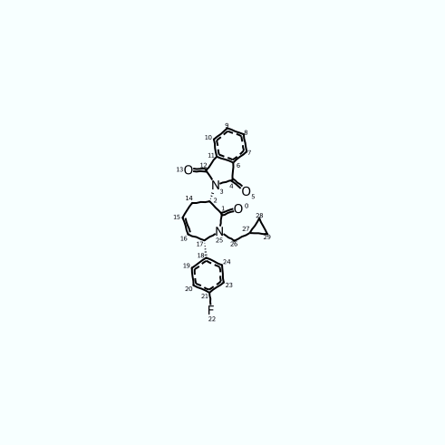 O=C1[C@@H](N2C(=O)c3ccccc3C2=O)CC=C[C@@H](c2ccc(F)cc2)N1CC1CC1